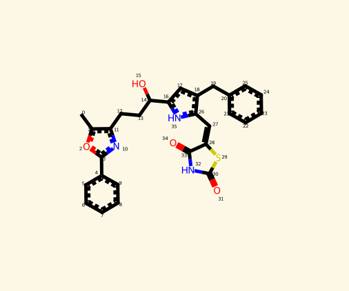 Cc1oc(-c2ccccc2)nc1CCC(O)c1cc(Cc2ccccc2)c(C=C2SC(=O)NC2=O)[nH]1